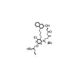 C=CC[C@@H](CCCC)COc1nc(CC)c(CCCCc2cc(O)cc3ccccc23)c(N(CCC(=C)CC(=O)C=C)C[C@@H](C)CC)n1